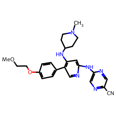 COCCOc1ccc(-c2cnc(Nc3cnc(C#N)cn3)cc2NC2CCN(C)CC2)cc1